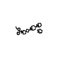 CCOC(=O)N1CCC2(CC(N3CCC(N4CCC[C@@H]4C4CC=CS4)CC3)C2)C1